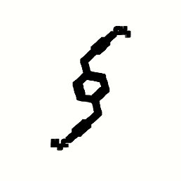 CC#CCc1ccc(CC#CC)cc1